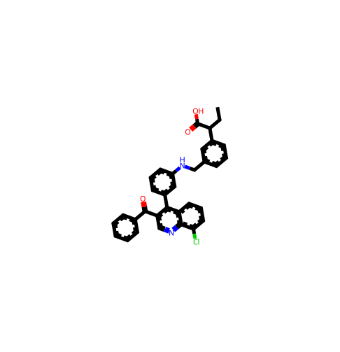 CCC(C(=O)O)c1cccc(CNc2cccc(-c3c(C(=O)c4ccccc4)cnc4c(Cl)cccc34)c2)c1